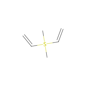 C=CS(C)(C)C=C